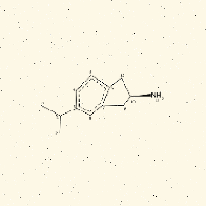 CC(C)c1ccc2c(c1)C[C@H](N)C2